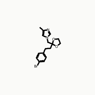 Cc1cn(CC2(CCc3ccc(Br)cc3)OCCO2)cn1